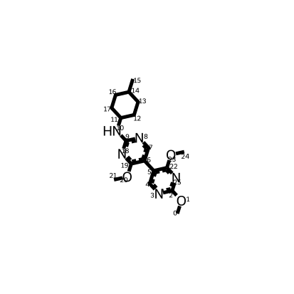 COc1ncc(-c2cnc(NC3CCC(C)CC3)nc2OC)c(OC)n1